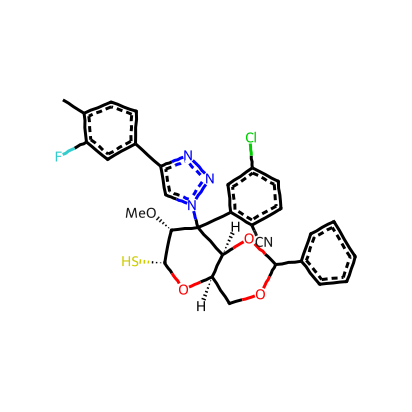 CO[C@H]1[C@@H](S)O[C@@H]2COC(c3ccccc3)O[C@@H]2C1(c1cc(Cl)ccc1C#N)n1cc(-c2ccc(C)c(F)c2)nn1